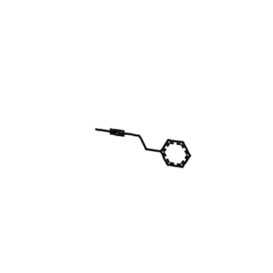 CC#CCCc1ccccc1